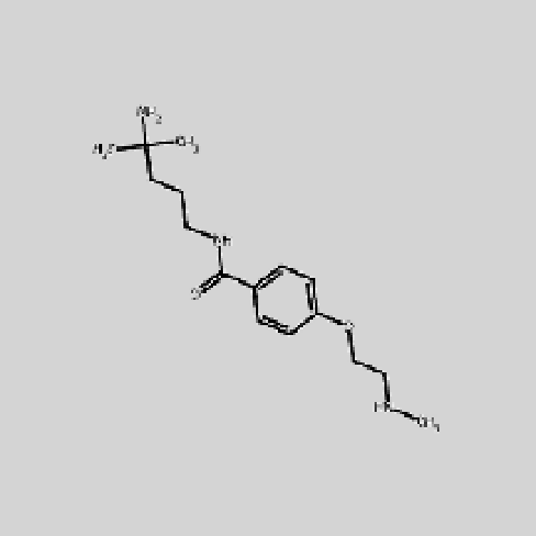 CNCCOc1ccc(C(=O)NCCCC(C)(C)N)cc1